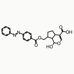 O=C(O)C1=COC(O)C2C(COC(=O)c3ccc(/N=N/c4ccccc4)cc3)CCC12